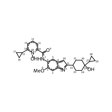 COc1cc2c(cc1NC(=O)c1cccc(C3CC3)[n+]1O)=CC(C1CCC(O)(C3CC3)CC1)=[N+]=2